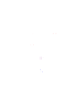 CCCCC(CC)(Pc1ccccc1N(C)C)c1cc(OC)cc(OC)c1OCc1ccccc1